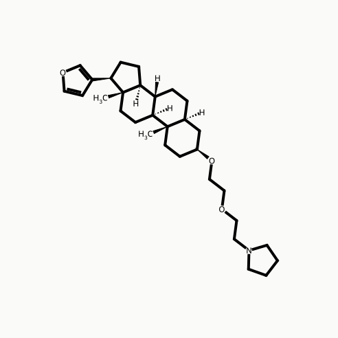 C[C@]12CC[C@H](OCCOCCN3CCCC3)C[C@@H]1CC[C@@H]1[C@@H]2CC[C@]2(C)[C@@H](c3ccoc3)CC[C@@H]12